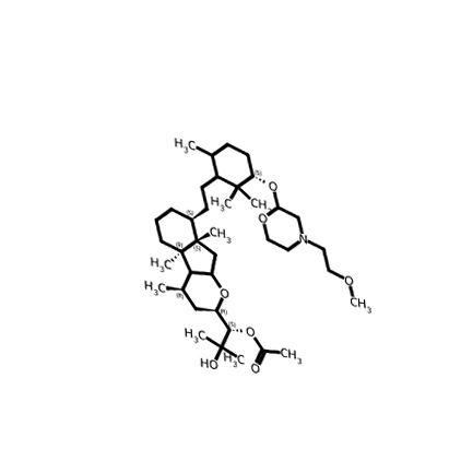 COCCN1CCOC(O[C@H]2CCC(C)C(CC[C@@H]3CCC[C@]4(C)C5C(C[C@@]34C)O[C@@H]([C@H](OC(C)=O)C(C)(C)O)C[C@H]5C)C2(C)C)C1